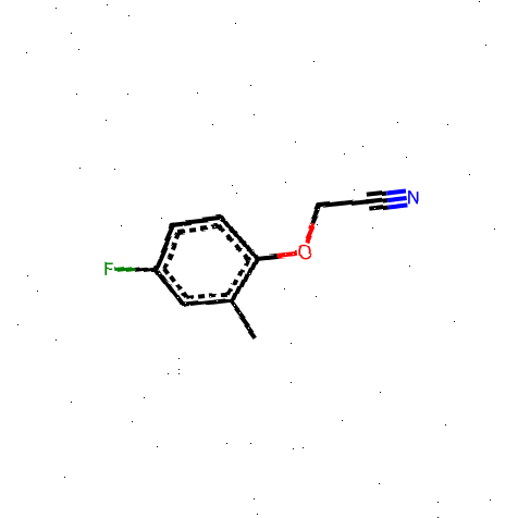 Cc1cc(F)ccc1OCC#N